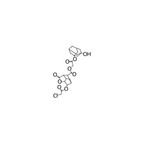 O=C(CCl)OC1C2CC3C1OC(=O)C3C2C(=O)OCC(=O)OC12CC3CC(CC(O)(C3)C1)C2